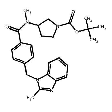 Cc1nc2ccccc2n1Cc1ccc(C(=O)N(C)C2CCN(C(=O)OC(C)(C)C)C2)cc1